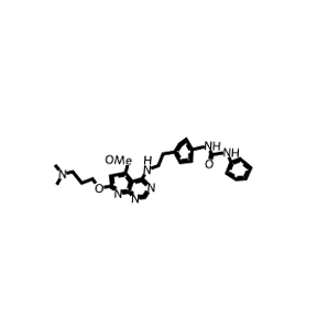 COc1cc(OCCCN(C)C)nc2ncnc(NCCc3ccc(NC(=O)Nc4ccccc4)cc3)c12